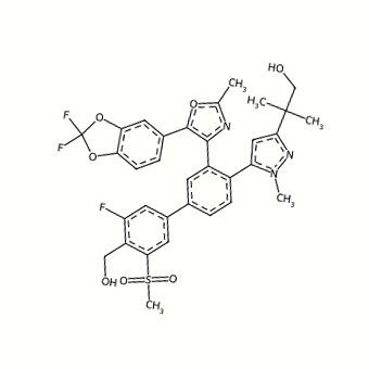 Cc1nc(-c2cc(-c3cc(F)c(CO)c(S(C)(=O)=O)c3)ccc2-c2cc(C(C)(C)CO)nn2C)c(-c2ccc3c(c2)OC(F)(F)O3)o1